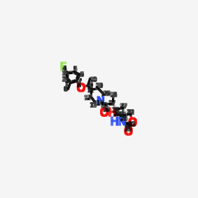 Cc1cc(F)ccc1OC(C)C1CCN(C(O)C(C)[C@H]2C[C@]3(COC(=O)N3)C2)CC1